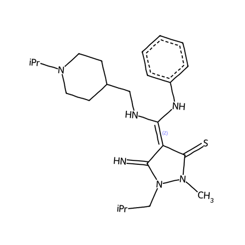 CC(C)CN1C(=N)/C(=C(\NCC2CCN(C(C)C)CC2)Nc2ccccc2)C(=S)N1C